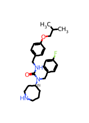 CC(C)COc1ccc(CNC(=O)N(Cc2ccc(F)cc2)[C@H]2CCCNCC2)cc1